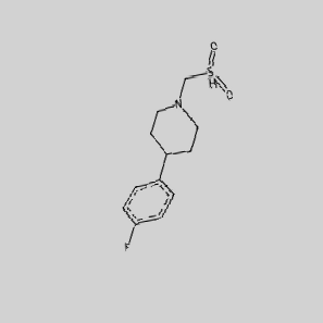 O=[SH](=O)CN1CCC(c2ccc(F)cc2)CC1